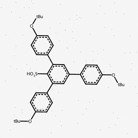 CC(C)(C)Oc1ccc(-c2cc(-c3ccc(OC(C)(C)C)cc3)c(S(=O)(=O)O)c(-c3ccc(OC(C)(C)C)cc3)c2)cc1